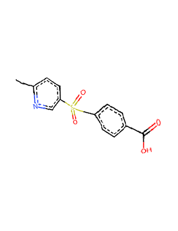 Cc1ccc(S(=O)(=O)c2ccc(C(=O)O)cc2)cn1